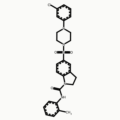 Cc1ccccc1NC(=O)N1CCc2cc(S(=O)(=O)N3CCN(c4cccc(Cl)c4)CC3)ccc21